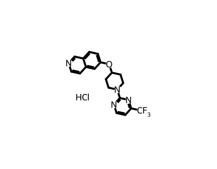 Cl.FC(F)(F)c1ccnc(N2CCC(Oc3ccc4cnccc4c3)CC2)n1